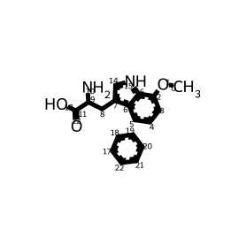 COc1cccc2c(CC(N)C(=O)O)c[nH]c12.c1ccccc1